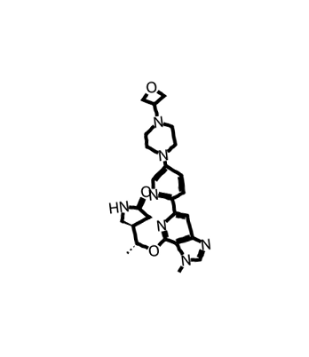 C[C@@H](Oc1nc(-c2ccc(N3CCN(C4COC4)CC3)cn2)cc2ncn(C)c12)[C@H]1CNC(=O)C1